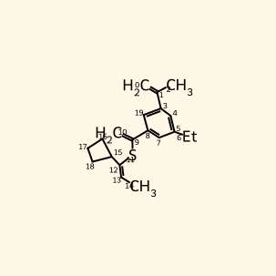 C=C(C)c1cc(CC)cc(C(=C)S/C(=C\C)C2CCC2)c1